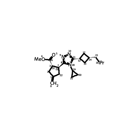 C=C1C[C@H](C(=O)OC)[C@@H](c2nnc([C@H]3C[C@@H](CC(C)C)C3)n2C2CC2)C1